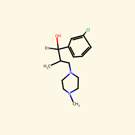 CCC(O)(c1cccc(Cl)c1)C(C)CN1CCN(C)CC1